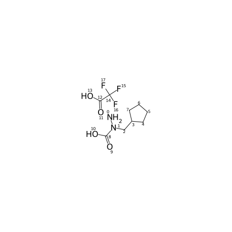 NN(CC1CCCC1)C(=O)O.O=C(O)C(F)(F)F